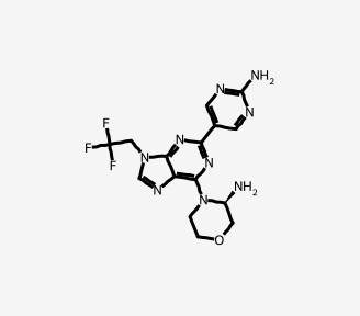 Nc1ncc(-c2nc(N3CCOC[C@@H]3N)c3ncn(CC(F)(F)F)c3n2)cn1